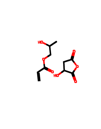 C=CC(=O)OCC(C)O.O=C1CC(O)C(=O)O1